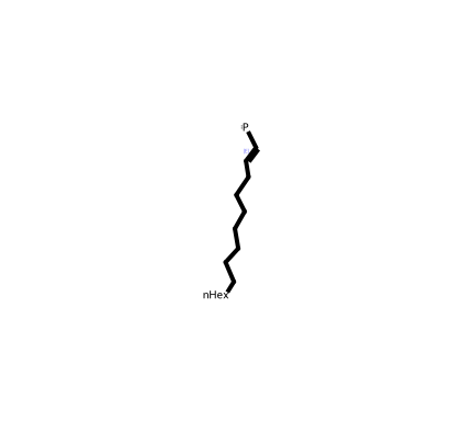 CCCCCCCCCCCCC/C=C/[P]